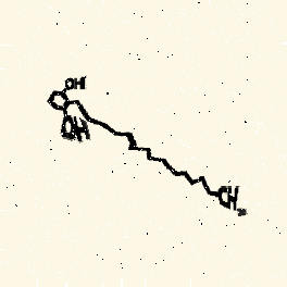 CCCCCCCCCC=CCCCCc1c(O)cccc1O